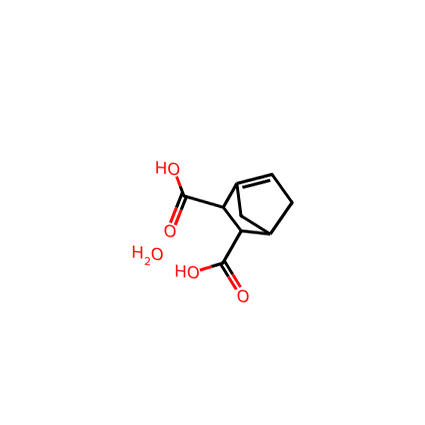 O.O=C(O)C1C2=CCC(C2)C1C(=O)O